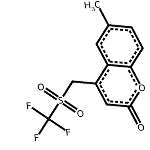 Cc1ccc2oc(=O)cc(CS(=O)(=O)C(F)(F)F)c2c1